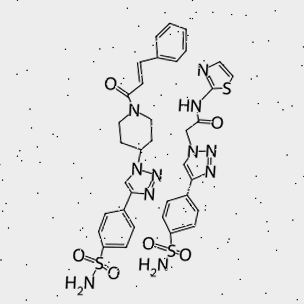 NS(=O)(=O)c1ccc(-c2cn(C3CCN(C(=O)C=Cc4ccccc4)CC3)nn2)cc1.NS(=O)(=O)c1ccc(-c2cn(CC(=O)Nc3nccs3)nn2)cc1